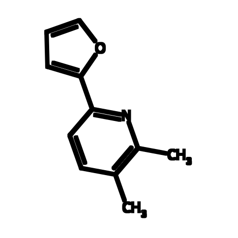 Cc1ccc(-c2ccco2)nc1C